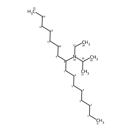 CCCCCCCCC(CCCCCCC)N(CC)C(C)C